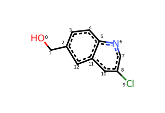 OCc1ccc2ncc(Cl)cc2c1